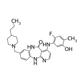 CCCC1CCN(Cc2ccc3c(c2)NC(=O)c2c(Nc4cc(O)c(C)cc4F)ccnc2N3)CC1